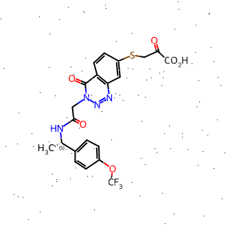 C[C@H](NC(=O)Cn1nnc2cc(SCC(=O)C(=O)O)ccc2c1=O)c1ccc(OC(F)(F)F)cc1